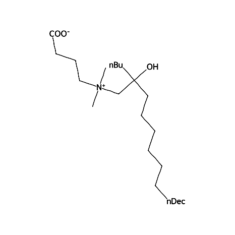 CCCCCCCCCCCCCCCCC(O)(CCCC)C[N+](C)(C)CCCC(=O)[O-]